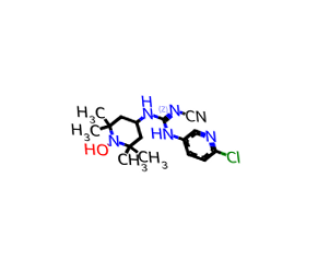 CC1(C)CC(N/C(=N/C#N)Nc2ccc(Cl)nc2)CC(C)(C)N1O